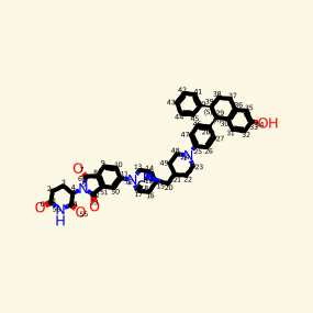 O=C1CCC(N2C(=O)c3ccc(N4CC5CCC4CN5CC4CCN(c5ccc([C@@H]6c7ccc(O)cc7CC[C@@H]6c6ccccc6)cc5)CC4)cc3C2=O)C(=O)N1